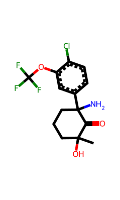 CC1(O)CCCC(N)(c2ccc(Cl)c(OC(F)(F)F)c2)C1=O